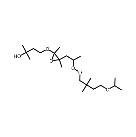 CC(C)OCCC(C)(C)COOC(C)CC1(C)OC1(C)OCCC(C)(C)O